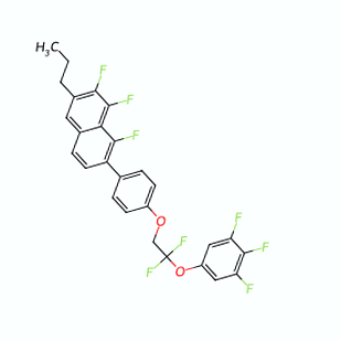 CCCc1cc2ccc(-c3ccc(OCC(F)(F)Oc4cc(F)c(F)c(F)c4)cc3)c(F)c2c(F)c1F